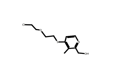 Cc1c(SCCOCCCl)ccnc1CO